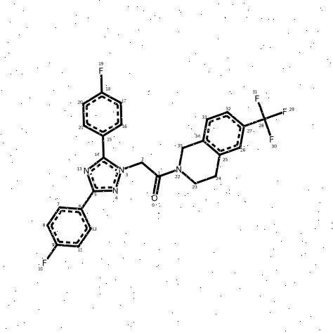 O=C(Cn1nc(-c2ccc(F)cc2)nc1-c1ccc(F)cc1)N1CCc2cc(C(F)(F)F)ccc2C1